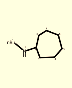 [CH2-][CH+]CCNC1CCCCCC1